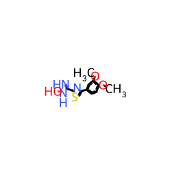 COc1ccc(-c2csc(C(=N)NO)n2)cc1OC